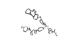 COCCC(=NOCc1ccc2c(c1)sc1ccccc12)c1ccc(OCC(=O)N2CCC3(CC2)CC3)cc1